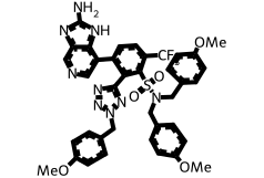 COc1ccc(CN(Cc2ccc(OC)cc2)S(=O)(=O)c2c(C(F)(F)F)ccc(-c3cncc4nc(N)[nH]c34)c2-c2nnn(Cc3ccc(OC)cc3)n2)cc1